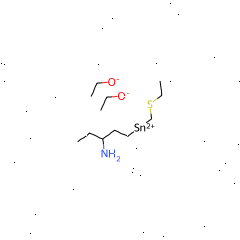 CCS[CH2][Sn+2][CH2]CC(N)CC.CC[O-].CC[O-]